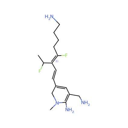 CC(F)/C(C=CC1=CC(CN)=C(N)N(C)C1)=C(/F)CCCCN